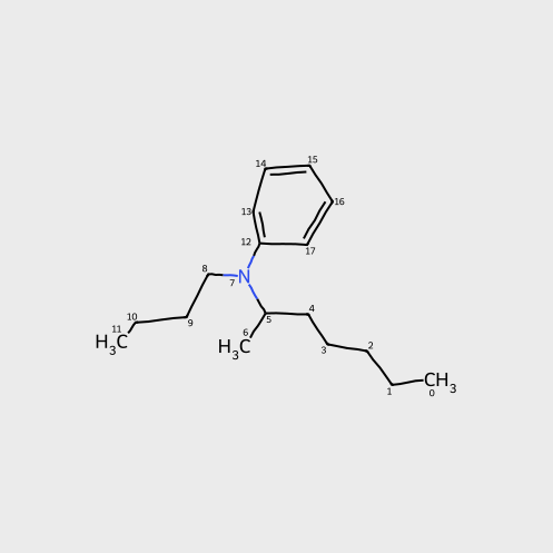 CCCCCC(C)N(CCCC)c1ccccc1